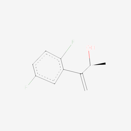 C=C(c1cc(F)ccc1F)[C@H](C)O